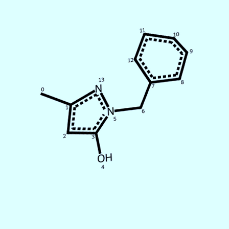 Cc1cc(O)n(Cc2ccccc2)n1